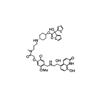 COc1cc(OCC(=O)N(C)CCCN[C@H]2CC[C@H](OC(=O)C(O)(c3cccs3)c3cccs3)CC2)c(Cl)cc1CNC[C@H](O)c1ccc(O)c2[nH]c(=O)ccc12